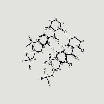 CS(=O)(=O)c1ccc(C(=O)C2C(=O)CCCC2=O)c(Cl)c1COCC(F)(F)F.CS(=O)(=O)c1ccc(C(=O)C2C(=O)CCCC2=O)c(Cl)c1COCC(F)(F)F